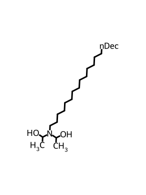 CCCCCCCCCCCCCCCCCCCCCCCCN(C(C)O)C(C)O